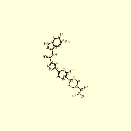 O=C(Nc1c[nH]c2cc(F)c(F)cc12)c1cc(-c2cnc(N3CCN(C(F)C(F)F)CC3)c(F)c2)on1